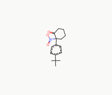 CC(C)(C)c1ccc(C2([N+](=O)[O-])CCCCC2=O)cc1